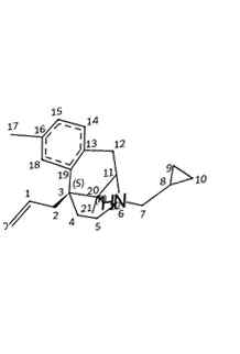 C=CC[C@@]12CCN(CC3CC3)C(Cc3ccc(C)cc31)[C@@H]2C